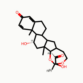 CCCC1OCCC2CC3C4CCC5=CC(=O)C=CC5(C)C4[C@@H](O)CC3(C)[C@]2(C(=O)CO)O1